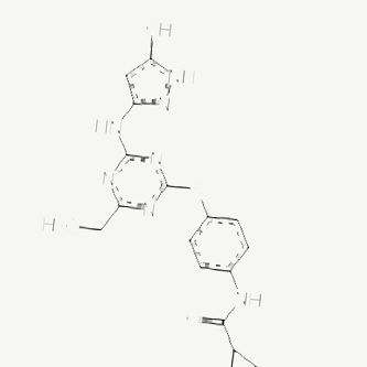 CCc1nc(Nc2cc(C)[nH]n2)nc(Sc2ccc(NC(=O)C3CC3)cc2)n1